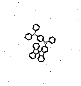 C1=CC(N(c2ccccc2)c2ccc(N(c3ccccc3)c3ccc4c(c3)C3(c5ccccc5-c5ccccc53)c3ccccc3-4)cc2)=CCC1